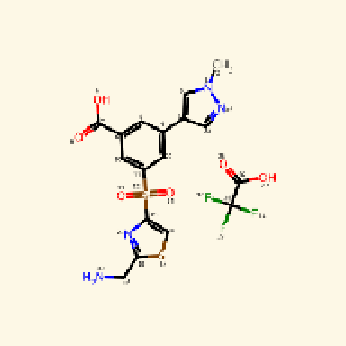 Cn1cc(-c2cc(C(=O)O)cc(S(=O)(=O)c3csc(CN)n3)c2)cn1.O=C(O)C(F)(F)F